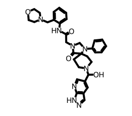 O=C(CN1CN(c2ccccc2)C2(CCN(C(O)c3cnc4[nH]ncc4c3)CC2)C1=O)Nc1ccccc1CN1CCOCC1